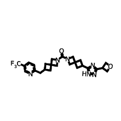 O=C(N1CC2(CC(Cc3ccc(C(F)(F)F)cn3)C2)C1)N1CC2(CC(c3nc(C4COC4)n[nH]3)C2)C1